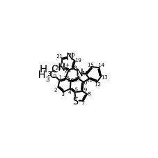 Cc1ccc2c3sccc3c3c4ccccc4n4c5cnc[n+](C)c5c1c2c34